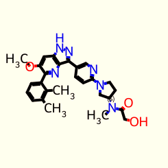 COc1cc2[nH]nc(-c3ccc(N4CC[C@H](N(C)C(=O)CO)C4)nc3)c2nc1-c1cccc(C)c1C